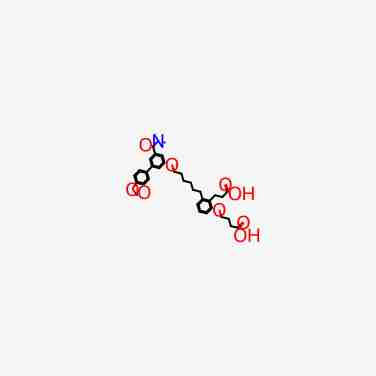 CN(C)C(=O)c1cc(OCCCCCCc2cccc(OCCCC(=O)O)c2CCC(=O)O)cc(-c2ccc3c(c2)OCO3)c1